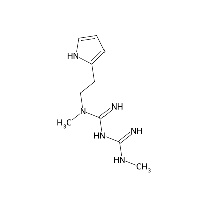 CNC(=N)NC(=N)N(C)CCc1ccc[nH]1